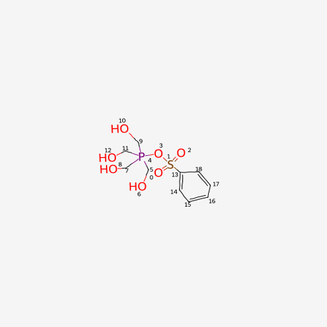 O=S(=O)(OP(CO)(CO)(CO)CO)c1ccccc1